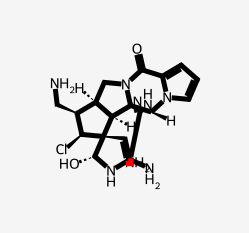 NC[C@H]1[C@H]2CN3C(=O)c4cccn4[C@H]4NC(N)=NC43[C@H]2[C@@]2(C=C(N)N[C@@H]2O)[C@H]1Cl